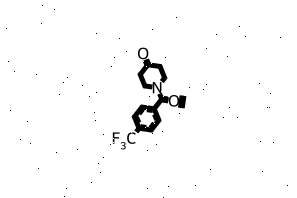 C=C.O=C1CCN(C(=O)c2ccc(C(F)(F)F)cc2)CC1